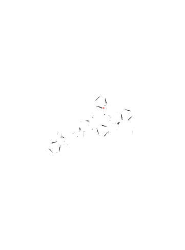 CC(C)(C)OC(=O)N[C@@H](Cc1ccccc1)[C@@H](O)C[C@@H](Cc1ccccc1)C(=O)N(CC(=O)NCc1nc2ccccc2[nH]1)c1ccccc1